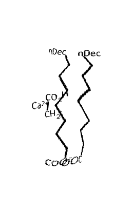 CCCCCCCCCCCCCCCCCC(=O)[O-].CCCCCCCCCCCCCCCCCC(=O)[O-].[CH2]C(=O)O.[Ca+2]